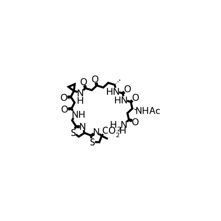 CC(=O)N[C@H](CC(N)=O)C(=O)NC(=O)N[C@@H](C)CCC(=O)CC(=O)NC1(C(=O)CC(=O)NCC2=NC(C3=NC(C)(C(=O)O)CS3)CS2)CC1